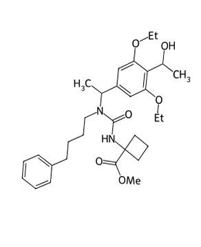 CCOc1cc(C(C)N(CCCCc2ccccc2)C(=O)NC2(C(=O)OC)CCC2)cc(OCC)c1C(C)O